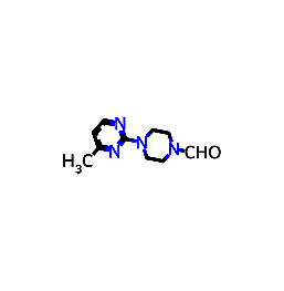 Cc1ccnc(N2CCN(C=O)CC2)n1